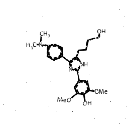 COc1cc(-c2nc(-c3ccc(N(C)C)cc3)c(CCCCO)[nH]2)cc(OC)c1O